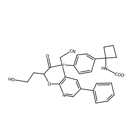 N#CC[N+]1(c2ccc(C3(NC(=O)[O-])CCC3)cc2)C(=O)C(CCO)Oc2ncc(-c3ccccc3)cc21